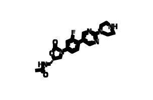 CC(=O)NC[C@H]1CN(c2ccc(-c3cnc(N4CCNCC4)nc3)c(F)c2)C(=O)O1